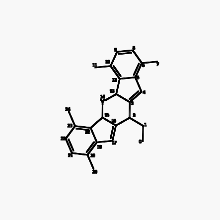 CCC1C2=Cc3c(C)ccc(C)c3[CH]2[Y][CH]2C1=Cc1c(C)ccc(C)c12